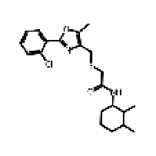 Cc1oc(-c2ccccc2Cl)nc1CSCC(=O)NC1CCCC(C)C1C